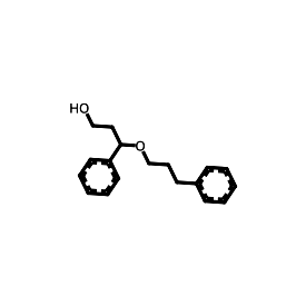 OCCC(OCCCc1ccccc1)c1ccccc1